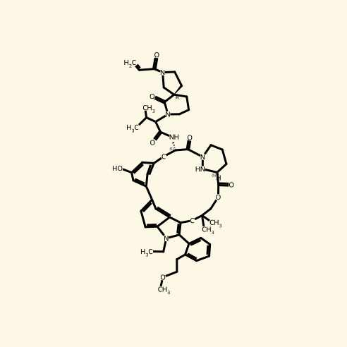 C=CC(=O)N1CC[C@]2(CCCN(C(C(=O)N[C@H]3Cc4cc(O)cc(c4)-c4ccc5c(c4)c(c(-c4ccccc4CCOC)n5CC)CC(C)(C)COC(=O)[C@@H]4CCCN(N4)C3=O)C(C)C)C2=O)C1